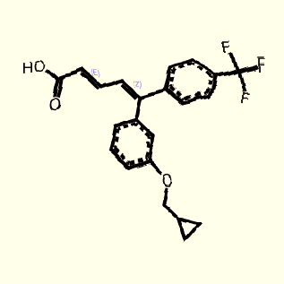 O=C(O)/C=C/C=C(/c1ccc(C(F)(F)F)cc1)c1cccc(OCC2CC2)c1